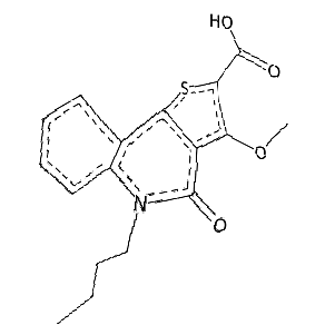 CCCCn1c(=O)c2c(OC)c(C(=O)O)sc2c2ccccc21